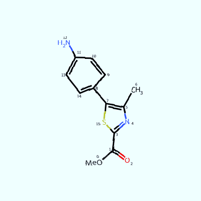 COC(=O)c1nc(C)c(-c2ccc(N)cc2)s1